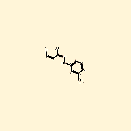 CCC(/C=C\Cl)=NNc1cccc(C)c1